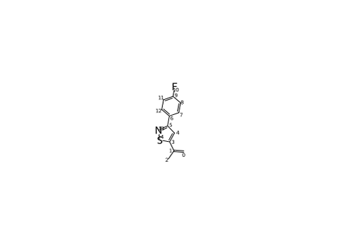 C=C(C)c1cc(-c2ccc(F)cc2)ns1